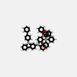 c1ccc(-c2ccc(-n3c4ccccc4c4ccc(-n5c6ccccc6c6c([Si](c7ccccc7)(c7ccccc7)c7ccccc7)c(-n7c8ccccc8c8ccccc87)ccc65)cc43)cc2)cc1